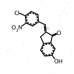 O=C1/C(=C/c2ccc(Cl)c([N+](=O)[O-])c2)Cc2ccc(O)cc21